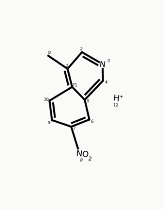 Cc1cncc2cc([N+](=O)[O-])ccc12.[H+]